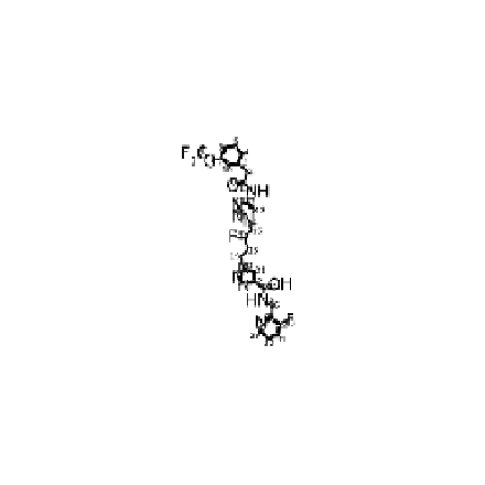 O=C(Cc1cccc(OC(F)(F)F)c1)Nc1cn(CC(F)CCn2cc(C(O)NCc3ncccc3F)nn2)nn1